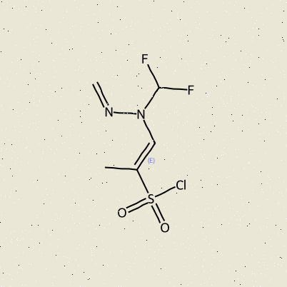 C=NN(/C=C(\C)S(=O)(=O)Cl)C(F)F